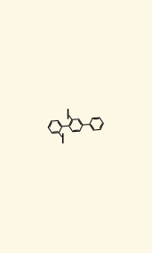 Ic1ccccc1-c1ccc(-c2ccccc2)cc1I